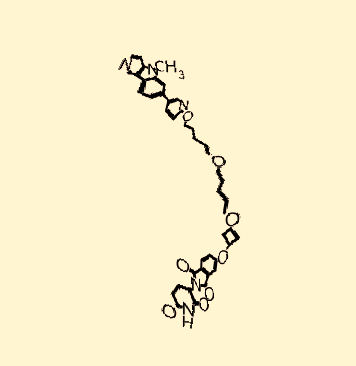 Cn1c2ccncc2c2ccc(-c3ccc(OCCCCCOCCCCCO[C@H]4C[C@H](Oc5ccc6c(c5)C(=O)N(C5CCC(=O)NC5=O)C6=O)C4)nc3)cc21